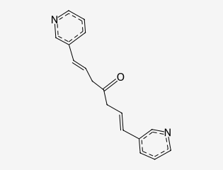 O=C(CC=Cc1cccnc1)CC=Cc1cccnc1